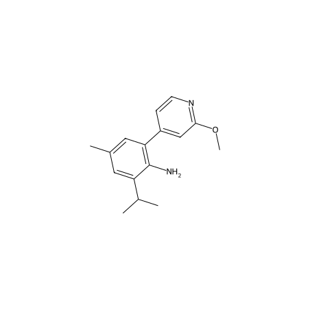 COc1cc(-c2cc(C)cc(C(C)C)c2N)ccn1